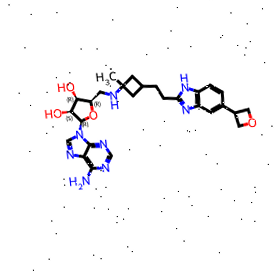 CC1(NC[C@H]2O[C@@H](n3cnc4c(N)ncnc43)[C@@H](O)[C@H]2O)CC(CCc2nc3cc(C4COC4)ccc3[nH]2)C1